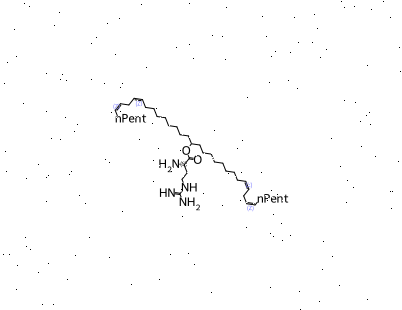 CCCCC/C=C\C/C=C\CCCCCCCCC(CCCCCCCC/C=C\C/C=C\CCCCC)OC(=O)[C@@H](N)CCNC(=N)N